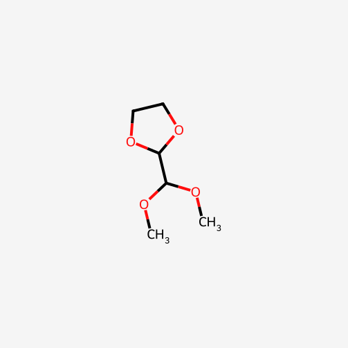 COC(OC)C1OCCO1